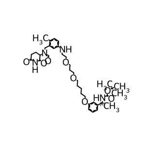 Cc1ccc(NCCOCCCOCCCCCOc2cccc([C@@H](C)NC(=O)OC(C)(C)C)c2)cc1CN(C=O)C1CCC(=O)NC1=O